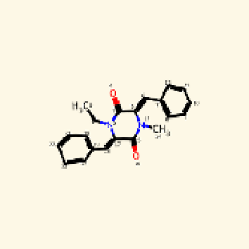 CCn1c(=O)c(=Cc2ccccc2)n(C)c(=O)c1=Cc1ccccc1